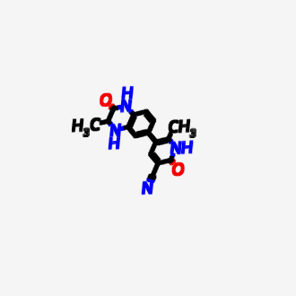 Cc1[nH]c(=O)c(C#N)cc1-c1ccc2c(c1)NC(C)C(=O)N2